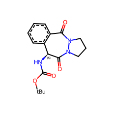 CC(C)(C)OC(=O)N[C@@H]1C(=O)N2CCCN2C(=O)c2ccccc21